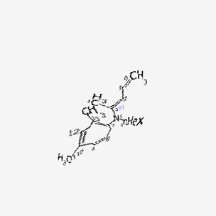 C=C/C=C(\C)N(CCCCCC)c1ccc(C)cc1C